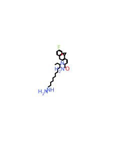 CCC(CCCCCCCCCCNN)N1C(Cc2ccc(F)cc2)=C(C2CC2)C=CC1C(N)=O